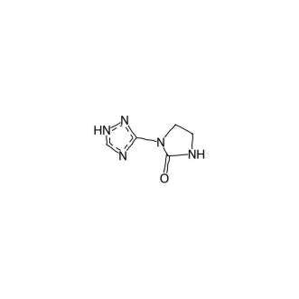 O=C1NCCN1c1nc[nH]n1